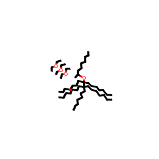 CCCCCCCC(C)OC(CCCCCCC)(CCCCCCC)C(CCCCCCC)(CCCCCCC)CCCCCCC.CCOCC.CCOCC.CCOCC